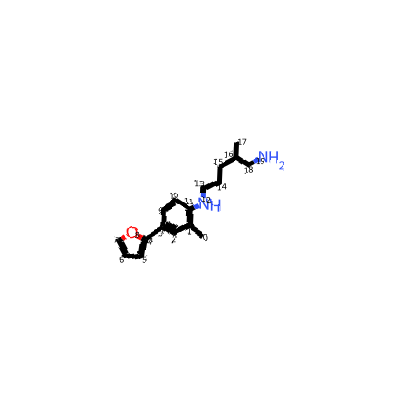 Cc1cc(-c2ccco2)ccc1NCCCC(C)CN